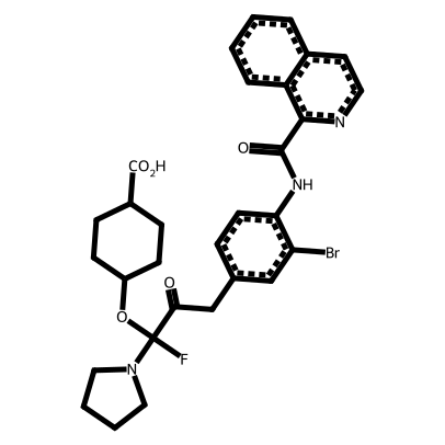 O=C(Nc1ccc(CC(=O)C(F)(OC2CCC(C(=O)O)CC2)N2CCCC2)cc1Br)c1nccc2ccccc12